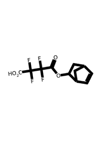 O=C(O)C(F)(F)C(F)(F)C(=O)OC1CC2C=CC1C2